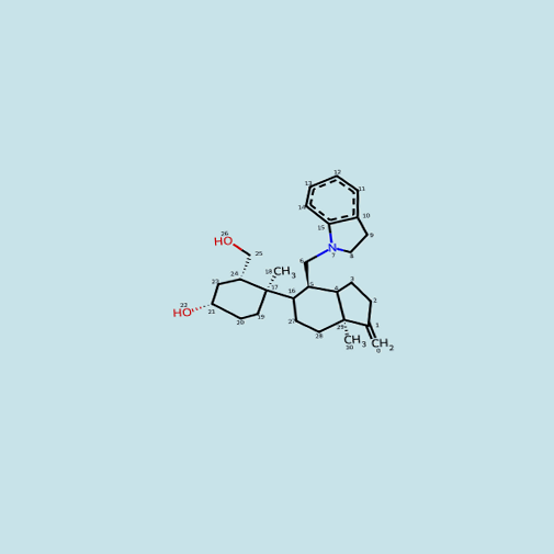 C=C1CCC2[C@H](CN3CCc4ccccc43)C([C@@]3(C)CC[C@H](O)C[C@@H]3CO)CC[C@]12C